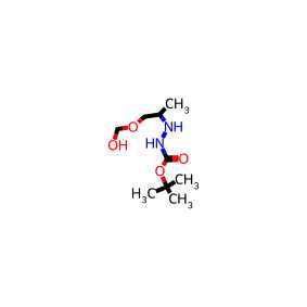 CC(COCO)NNC(=O)OC(C)(C)C